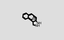 C1=C2C=c3ccccc3=C(N2)C2CNNC12